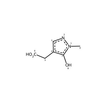 Cn1ncc(CC(=O)O)c1O